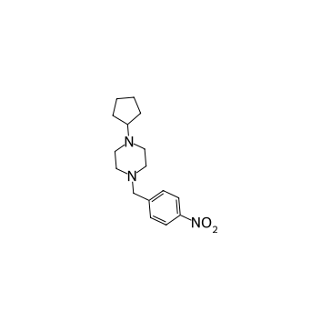 O=[N+]([O-])c1ccc(CN2CCN(C3CCCC3)CC2)cc1